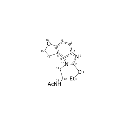 CCOc1nc2ccc3c(c2n1CCNC(C)=O)CCO3